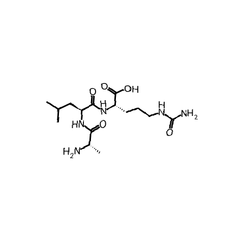 CC(C)C[C@H](NC(=O)[C@H](C)N)C(=O)N[C@@H](CCCNC(N)=O)C(=O)O